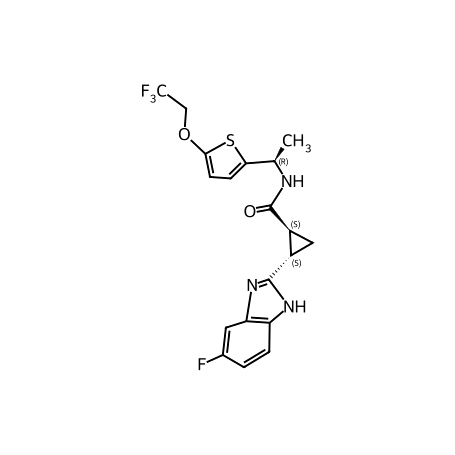 C[C@@H](NC(=O)[C@H]1C[C@@H]1c1nc2cc(F)ccc2[nH]1)c1ccc(OCC(F)(F)F)s1